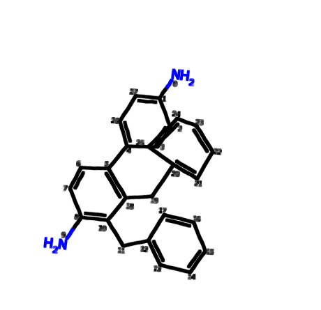 Nc1ccc(-c2ccc(N)c(Cc3ccccc3)c2Cc2ccccc2)cc1